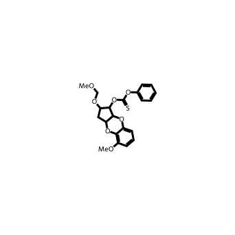 COCOC1CC2Oc3c(OC)cccc3OC2C1OC(=S)Oc1ccccc1